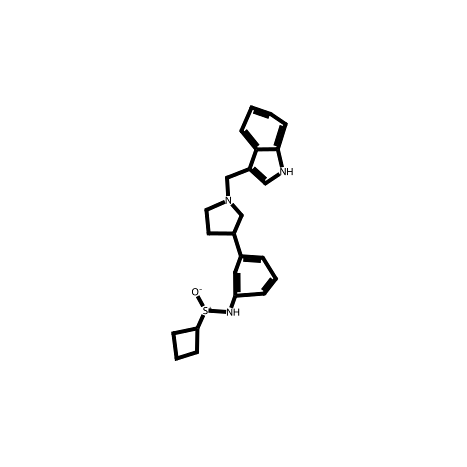 [O-][S+](Nc1cccc(C2CCN(Cc3c[nH]c4ccccc34)C2)c1)C1CCC1